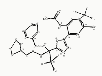 O=C(O)Nc1cc(C(F)(F)F)c(Br)nc1-c1nnc(C(CCCC2OCCO2)(OCc2ccccc2)C(F)(F)F)o1